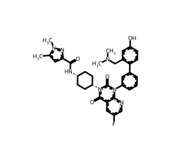 Cc1cc(C(=O)N[C@H]2CC[C@@H](n3c(=O)c4cc(F)cnc4n(-c4cccc(-c5ccc(O)cc5CN(C)C)c4)c3=O)CC2)nn1C